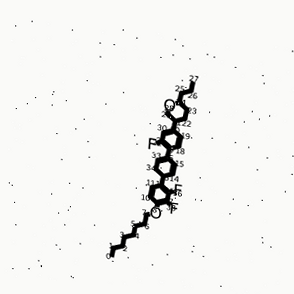 CCCCCCCCOc1ccc(C2C=CC(c3ccc(C4CCC(CCC)OC4)cc3F)=CC2)c(F)c1F